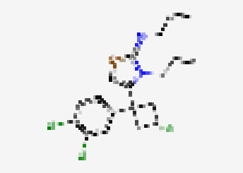 Br.C=CCN=c1scc(C2(c3ccc(Cl)c(Cl)c3)CCC2)n1CC=C